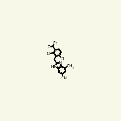 CCC(=O)c1ccc(Cl)c(Cc2nc3c(C)cc(C#N)cc3[nH]2)c1Cl